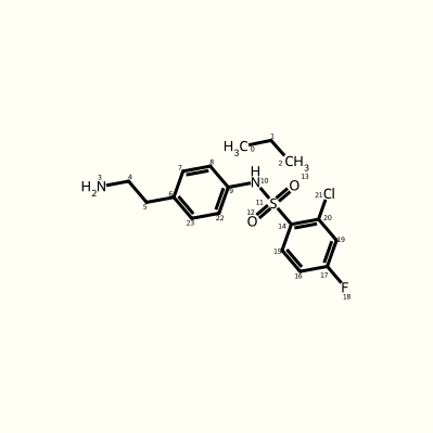 CCC.NCCc1ccc(NS(=O)(=O)c2ccc(F)cc2Cl)cc1